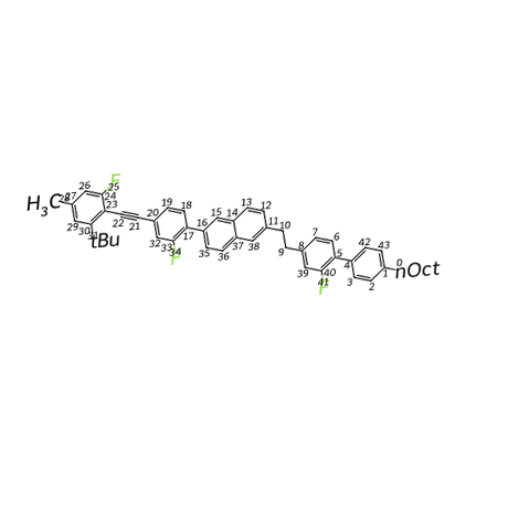 CCCCCCCCc1ccc(-c2ccc(CCc3ccc4cc(-c5ccc(C#Cc6c(F)cc(C)cc6C(C)(C)C)cc5F)ccc4c3)cc2F)cc1